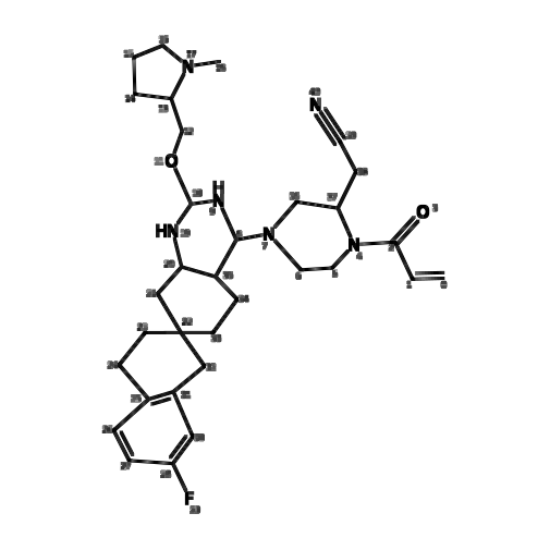 C=CC(=O)N1CCN(C2NC(OCC3CCCN3C)NC3CC4(CCc5ccc(F)cc5C4)CCC32)CC1CC#N